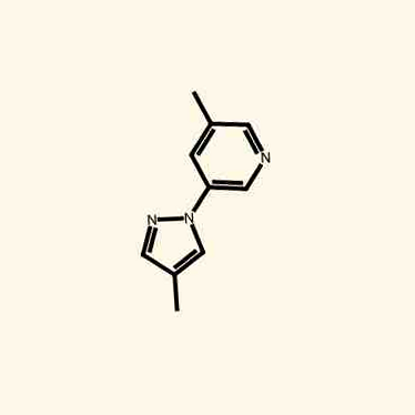 Cc1cncc(-n2cc(C)cn2)c1